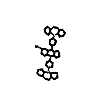 CC(C)(C)c1ccc2c(-c3ccc(N4c5ccccc5C=Cc5ccccc54)cc3)c3ccccc3c(-c3ccc(N4c5ccccc5C=Cc5ccccc54)cc3)c2c1